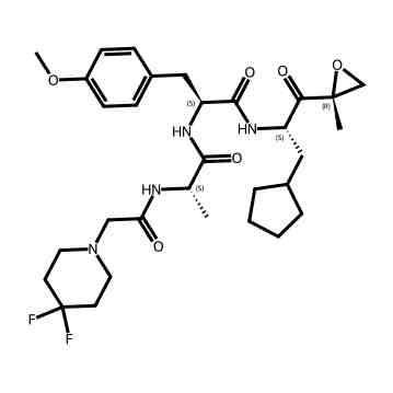 COc1ccc(C[C@H](NC(=O)[C@H](C)NC(=O)CN2CCC(F)(F)CC2)C(=O)N[C@@H](CC2CCCC2)C(=O)[C@@]2(C)CO2)cc1